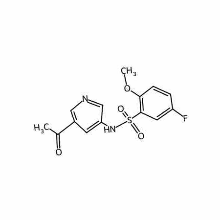 COc1ccc(F)cc1S(=O)(=O)Nc1cncc(C(C)=O)c1